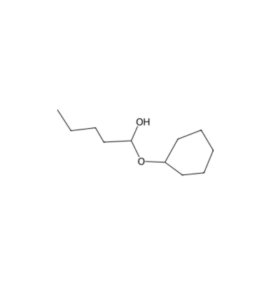 CCCCC(O)OC1CCCCC1